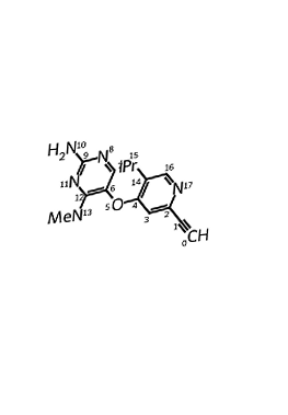 C#Cc1cc(Oc2cnc(N)nc2NC)c(C(C)C)cn1